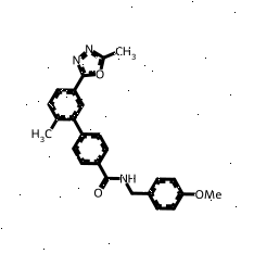 COc1ccc(CNC(=O)c2ccc(-c3cc(-c4nnc(C)o4)ccc3C)cc2)cc1